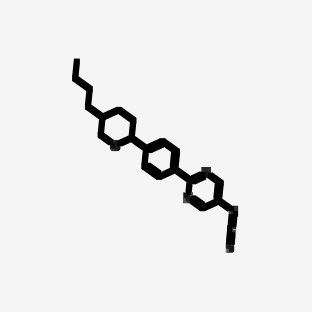 CCCCC1CCC(c2ccc(-c3ncc(N=C=S)cn3)cc2)OC1